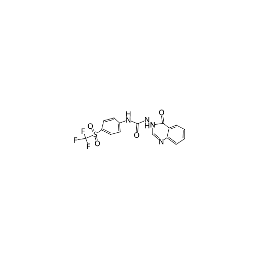 O=C(Nc1ccc(S(=O)(=O)C(F)(F)F)cc1)Nn1cnc2ccccc2c1=O